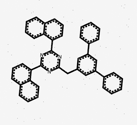 c1ccc(-c2cc(Cc3nc(-c4cccc5ccccc45)nc(-c4cccc5ccccc45)n3)cc(-c3ccccc3)c2)cc1